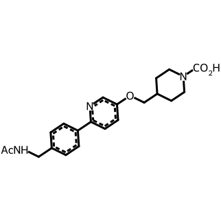 CC(=O)NCc1ccc(-c2ccc(OCC3CCN(C(=O)O)CC3)cn2)cc1